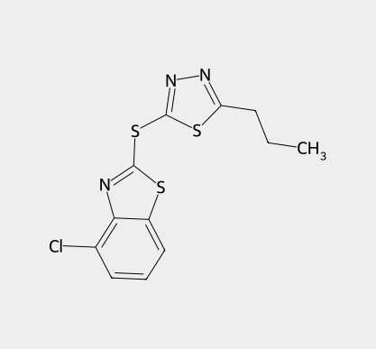 CCCc1nnc(Sc2nc3c(Cl)cccc3s2)s1